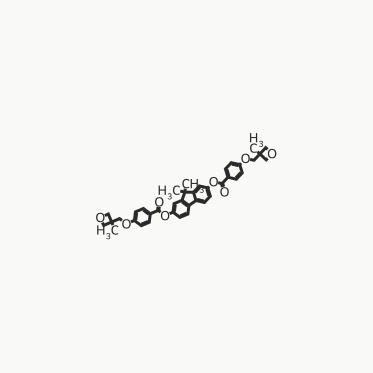 CC1(COc2ccc(C(=O)Oc3ccc4c(c3)C(C)(C)c3cc(OC(=O)c5ccc(OCC6(C)COC6)cc5)ccc3-4)cc2)COC1